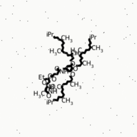 CC[C@H]1O[C@@H](n2cc(C)c(=O)[nH]c2=O)C[C@H]1OC(=O)CCC(=O)NCc1cc(OCCC(C)CCCC(C)CCCC(C)CCCC(C)C)c(OCCC(C)CCCC(C)CCCC(C)CCCC(C)C)c(OCCC(C)CCCC(C)CCCC(C)CCCC(C)C)c1